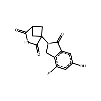 O=C1NC(=O)C2(N3Cc4c(Br)cc(O)cc4C3=O)CC1C2